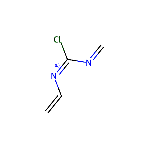 C=C/N=C(/Cl)N=C